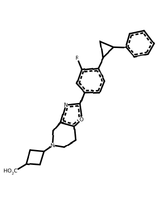 O=C(O)C1CC(N2CCc3oc(-c4ccc(C5CC5c5ccccc5)c(F)c4)nc3C2)C1